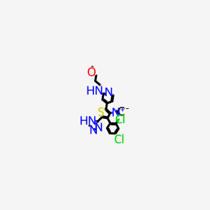 [C-]#[N+]c1c(-c2ccnc(NCCCOC)c2)sc(-c2nnc[nH]2)c1-c1ccc(Cl)cc1Cl